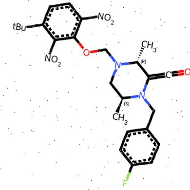 C[C@@H]1C(=C=O)N(Cc2ccc(F)cc2)[C@@H](C)CN1COc1c([N+](=O)[O-])ccc(C(C)(C)C)c1[N+](=O)[O-]